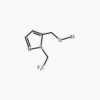 CCOCc1[c]cnn1CC(F)(F)F